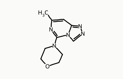 Cc1cc2nncn2c(N2CCOCC2)n1